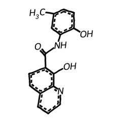 Cc1ccc(O)c(NC(=O)c2ccc3cccnc3c2O)c1